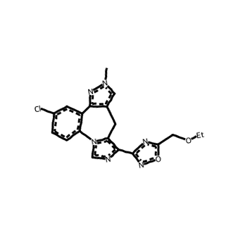 CCOCc1nc(-c2ncn3c2Cc2cn(C)nc2-c2cc(Cl)ccc2-3)no1